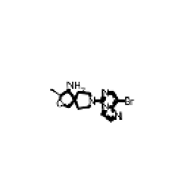 C[C@@H]1OCC2(CCN(c3ncc(Br)c4nccn34)CC2)C1N